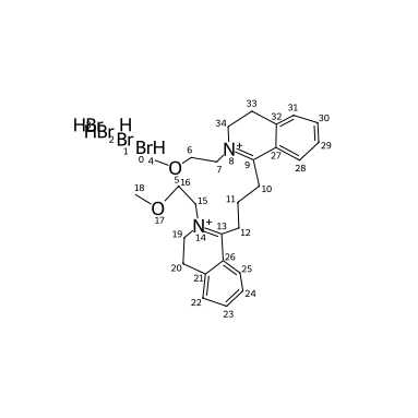 Br.Br.Br.Br.COCC[N+]1=C(CCCC2=[N+](CCOC)CCc3ccccc32)c2ccccc2CC1